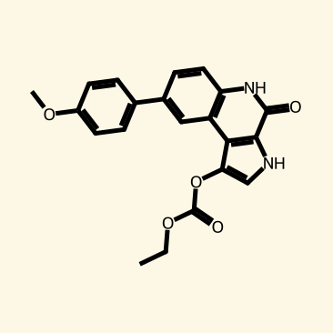 CCOC(=O)Oc1c[nH]c2c(=O)[nH]c3ccc(-c4ccc(OC)cc4)cc3c12